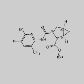 Cc1cc(F)c(Br)nc1NC(=O)[C@H]1C[C@H]2C[C@H]2N1C(=O)OC(C)(C)C